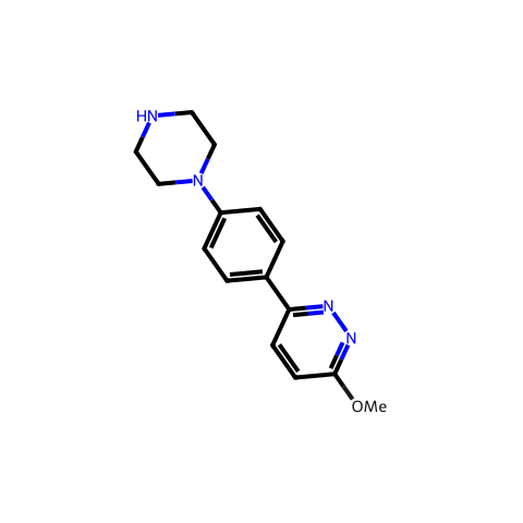 COc1ccc(-c2ccc(N3CCNCC3)cc2)nn1